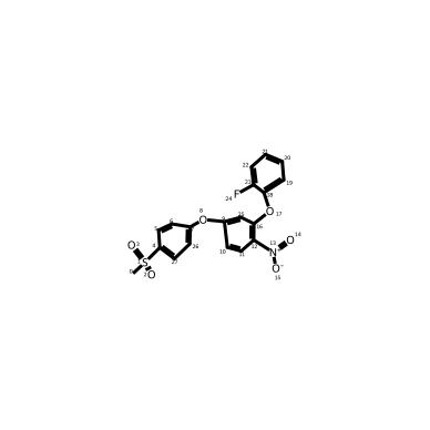 CS(=O)(=O)c1ccc(Oc2ccc([N+](=O)[O-])c(Oc3ccccc3F)c2)cc1